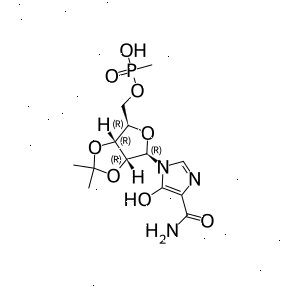 CC1(C)O[C@@H]2[C@H](O1)[C@@H](COP(C)(=O)O)O[C@H]2n1cnc(C(N)=O)c1O